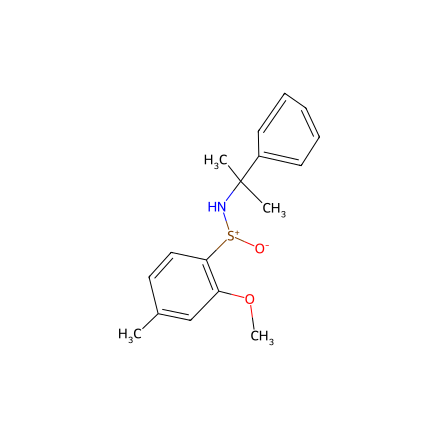 COc1cc(C)ccc1[S+]([O-])NC(C)(C)c1ccccc1